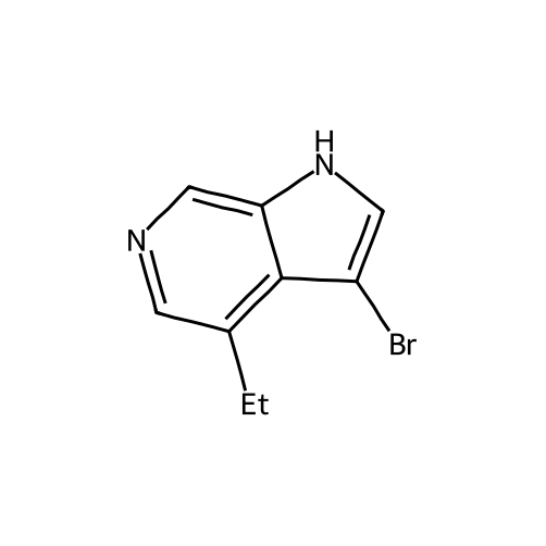 CCc1cncc2[nH]cc(Br)c12